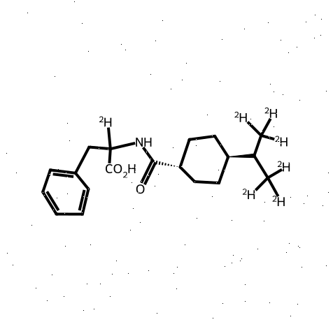 [2H]C(Cc1ccccc1)(NC(=O)[C@H]1CC[C@H](C(C([2H])([2H])[2H])C([2H])([2H])[2H])CC1)C(=O)O